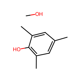 CO.Cc1cc(C)c(O)c(C)c1